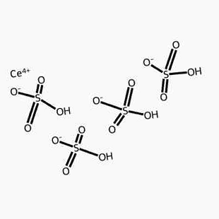 O=S(=O)([O-])O.O=S(=O)([O-])O.O=S(=O)([O-])O.O=S(=O)([O-])O.[Ce+4]